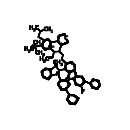 C=CC1C(CCc2ccc3c(oc4cc(F)c(-c5ccccc5)cc43)c2C2N(C)c3ccccc3N2c2ccc(-c3ccccc3)cc2)c2ccccc2-c2cc(CC(C)C)c([Si](C)(C)C)c[n+]21